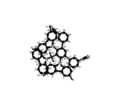 Cc1ccc2c(c1)c1cc(C)ccc1n2-c1c(-c2cccc(C#N)c2)cc(-c2cccc(C#N)c2)c(-n2c3ccc(C)cc3c3cc(C)ccc32)c1C(C)(C)n1c2ccccc2c2ccccc21